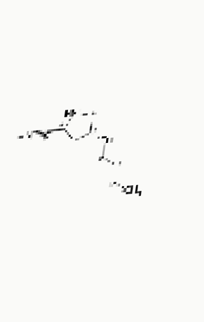 CCCCO[C@H]1CN[C@H](C#N)C1